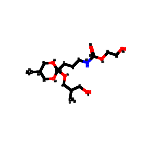 CC(CO)CO[Si]1(CCCNC(=O)OCCO)OCC(C)CO1